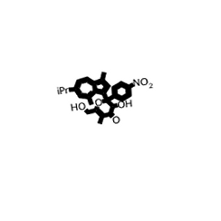 CC1=C(CO)OC(c2ccc([N+](=O)[O-])cc2)(c2cc(C)c3ccc(C(C)C)cc(C)c2-3)C(O)C1=O